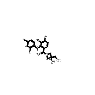 C=C(c1ccc(F)c(F)c1Nc1ccc(I)cc1F)N1CC(O)(CN)C1